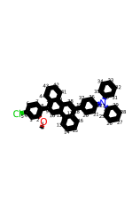 COc1cc(Cl)ccc1-c1cc2c3ccccc3c(-c3ccc(N(c4ccccc4)c4ccccc4)cc3)cc2c2ccccc12